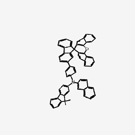 CC1(C)c2ccccc2-c2ccc(N(c3ccc(-c4ccc5c(c4)C4(c6ccccc6-5)c5ccc6ccccc6c5Oc5c4ccc4ccccc54)cc3)c3ccc4ccccc4c3)cc21